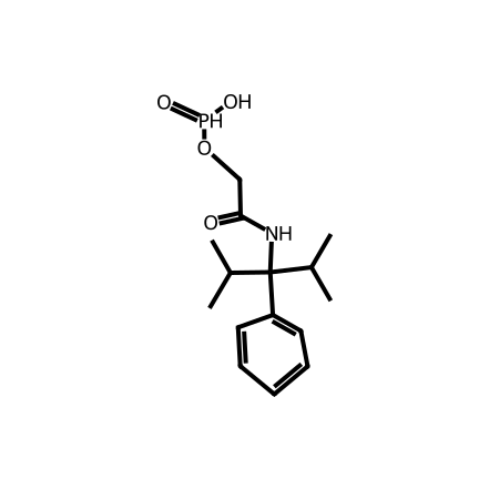 CC(C)C(NC(=O)CO[PH](=O)O)(c1ccccc1)C(C)C